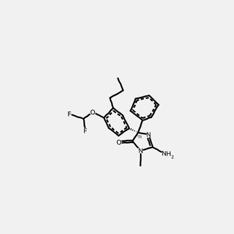 CCCc1cc([C@]2(c3ccccc3)N=C(N)N(C)C2=O)ccc1OC(F)F